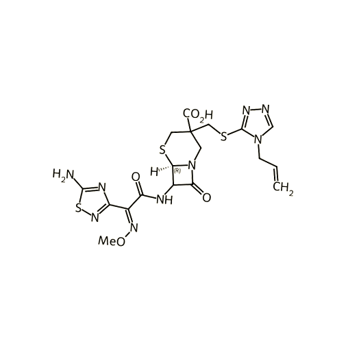 C=CCn1cnnc1SCC1(C(=O)O)CS[C@@H]2C(NC(=O)C(=NOC)c3nsc(N)n3)C(=O)N2C1